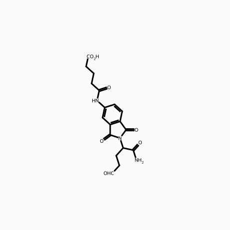 NC(=O)C(CCC=O)N1C(=O)c2ccc(NC(=O)CCCC(=O)O)cc2C1=O